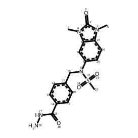 Cn1c(=O)n(C)c2cc(N(Cc3ccc(C(=O)NN)cc3)S(C)(=O)=O)ccc21